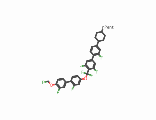 CCCCCC1CCC(c2ccc(-c3cc(F)c(C(F)(F)Oc4ccc(-c5ccc(OCF)c(F)c5)c(F)c4)c(F)c3)c(F)c2)CC1